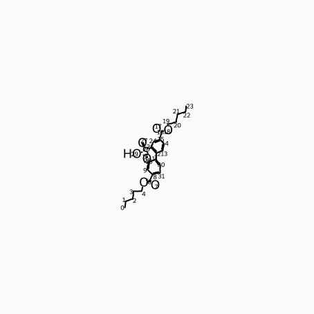 CCCCCOC(=O)c1ccc(-c2ccc(C(=O)OCCCCC)cc2S(=O)(=O)O)cc1